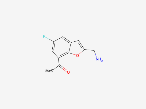 CSC(=O)c1cc(F)cc2cc(CN)oc12